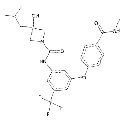 CNC(=O)c1ccc(Oc2cc(NC(=O)N3CC(O)(CC(C)C)C3)cc(C(F)(F)F)c2)cc1